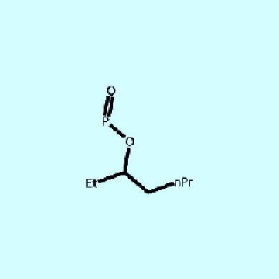 CCCCC(CC)OP=O